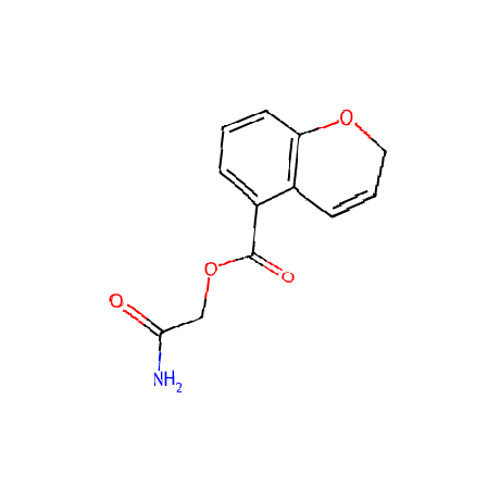 NC(=O)COC(=O)c1cccc2c1C=CCO2